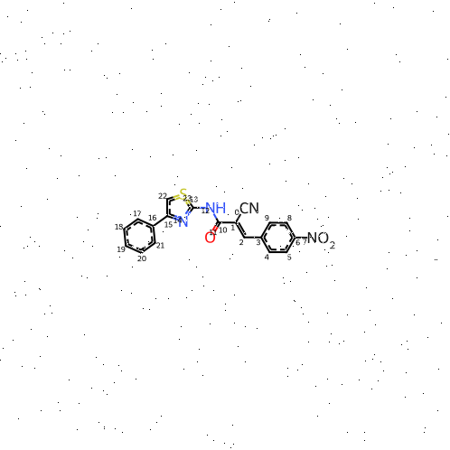 N#C/C(=C\c1ccc([N+](=O)[O-])cc1)C(=O)Nc1nc(-c2ccccc2)cs1